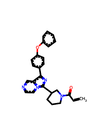 C=CC(=O)N1CCCC(c2nc(-c3ccc(Oc4ccccc4)cc3)c3cnccn23)C1